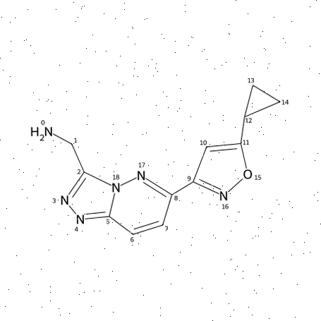 NCc1nnc2ccc(-c3cc(C4CC4)on3)nn12